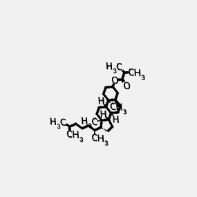 CC(C)CCC[C@@H](C)[C@H]1CC[C@H]2[C@@H]3CC=C4CC(OC(=O)C(C)C)CC[C@]4(C)[C@H]3CC[C@]12C